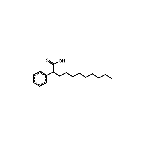 CCCCCCCCCC(C(O)=S)c1ccccc1